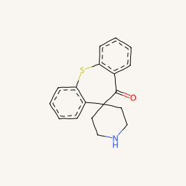 O=C1c2ccccc2Sc2ccccc2C12CCNCC2